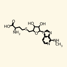 CNc1nccc2c1ncn2C1OC(CSCCC(N)C(=O)O)C(O)C1O